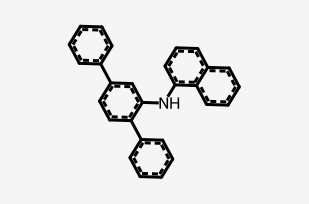 c1ccc(-c2ccc(-c3ccccc3)c(Nc3cccc4ccccc34)c2)cc1